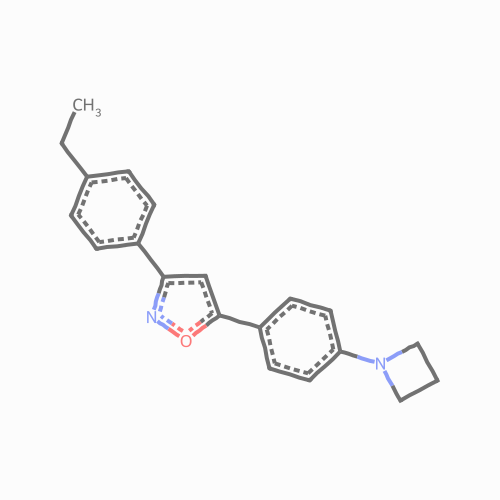 CCc1ccc(-c2cc(-c3ccc(N4CCC4)cc3)on2)cc1